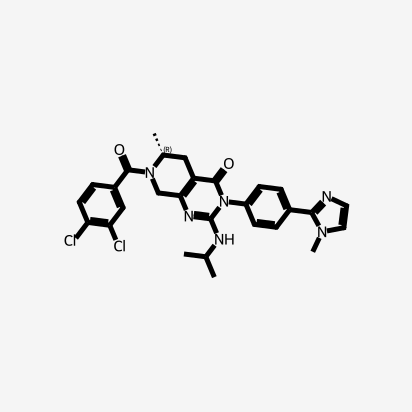 CC(C)Nc1nc2c(c(=O)n1-c1ccc(-c3nccn3C)cc1)C[C@@H](C)N(C(=O)c1ccc(Cl)c(Cl)c1)C2